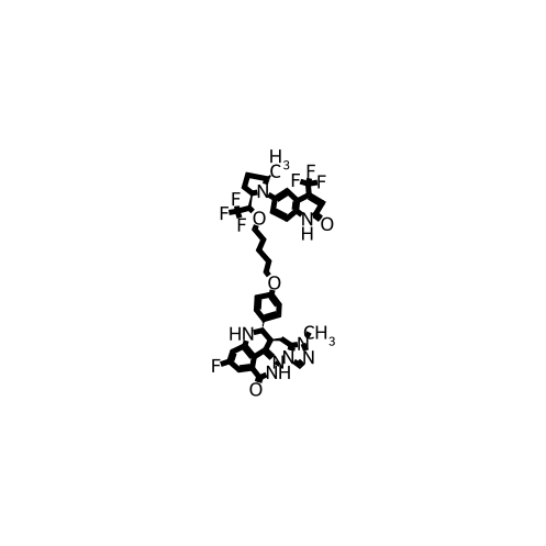 C[C@H]1CC[C@H](C(OCCCCCOc2ccc([C@H]3Nc4cc(F)cc5c(=O)[nH]nc(c45)[C@@H]3Cc3ncnn3C)cc2)C(F)(F)F)N1c1ccc2[nH]c(=O)cc(C(F)(F)F)c2c1